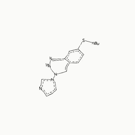 CCCCSc1ccc2c(c1)=NNN(n1ccnc1)C=2